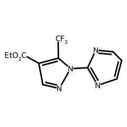 CCOC(=O)c1cnn(-c2ncccn2)c1C(F)(F)F